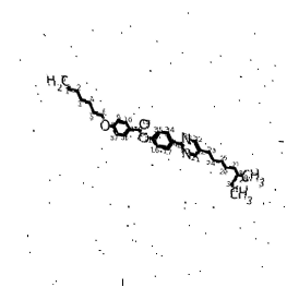 C=CCCCCCOc1ccc(C(=O)Oc2ccc(-c3ncc(CCCCC[C@@H](C)CC)cn3)cc2)cc1